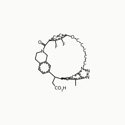 Cc1c2ccc3c1nnn3CCCCCOc1ccc(c(F)c1F)C(=O)N1CCc3ccc(cc3C1)C2CC(=O)O